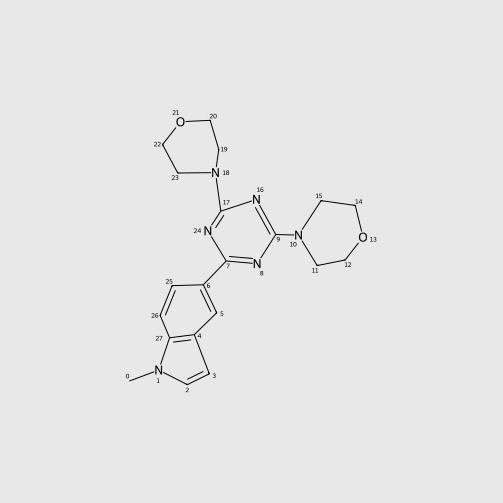 Cn1ccc2cc(-c3nc(N4CCOCC4)nc(N4CCOCC4)n3)ccc21